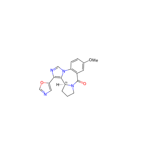 COc1ccc2c(c1)C(=O)N1CCC[C@H]1c1c(-c3cnco3)ncn1-2